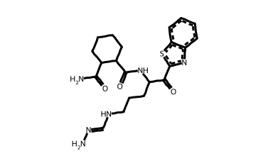 NN=CNCCCC(NC(=O)C1CCCCC1C(N)=O)C(=O)c1nc2ccccc2s1